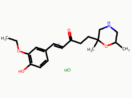 CCOc1cc(/C=C/C(=O)CCC2(C)CNCC(C)O2)ccc1O.Cl